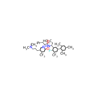 Cc1cc(C)c(-c2cc([C@H](CC(=O)O)NC(=O)C(CC(C)C)n3cc(CCCN(C)C)c(C(F)(F)F)cc3=O)c(F)c(C(F)(F)F)c2)c(C)c1